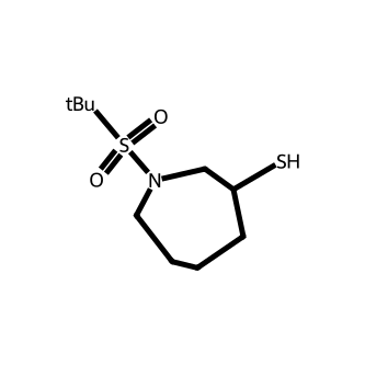 CC(C)(C)S(=O)(=O)N1CCCCC(S)C1